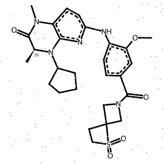 COc1cc(C(=O)N2CC3(CCS3(=O)=O)C2)ccc1Nc1ccc2c(n1)N(C1CCCC1)[C@@H](C)C(=O)N2C